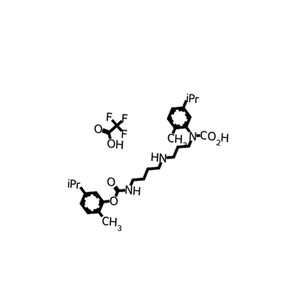 Cc1ccc(C(C)C)cc1OC(=O)NCCCCNCCCN(C(=O)O)c1cc(C(C)C)ccc1C.O=C(O)C(F)(F)F